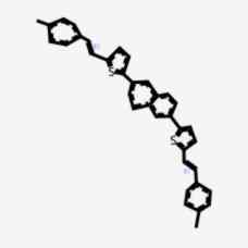 Cc1ccc(/C=C/c2ccc(-c3ccc4cc(-c5ccc(/C=C/c6ccc(C)cc6)s5)ccc4c3)s2)cc1